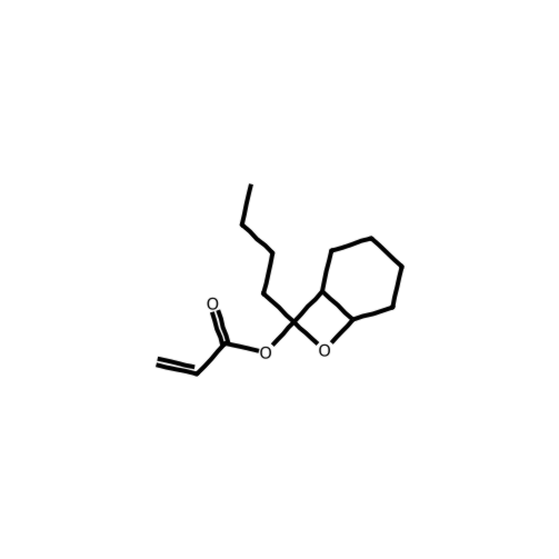 C=CC(=O)OC1(CCCC)OC2CCCCC21